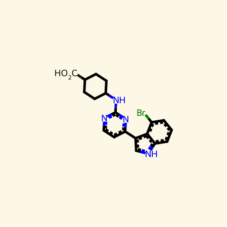 O=C(O)C1CCC(Nc2nccc(-c3c[nH]c4cccc(Br)c34)n2)CC1